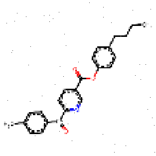 CCCCc1ccc(OC(=O)c2cc[c]([Co](=[O])[c]3ccc(C)cc3)nc2)cc1